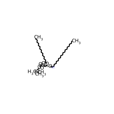 CCCCCCCCCCCCCCCCCC/C=C\OC[C@H](COP(=O)([O-])OCC[N+](C)(C)C)OC(=O)CCCCCCCCCCCCCCC